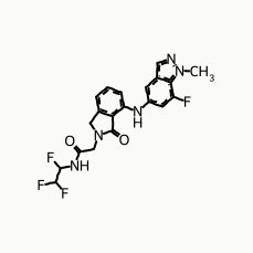 Cn1ncc2cc(Nc3cccc4c3C(=O)N(CC(=O)NC(F)C(F)F)C4)cc(F)c21